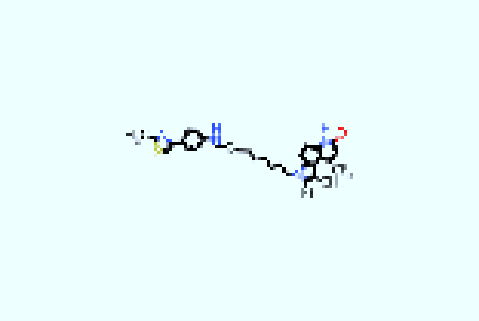 CCc1c(C)c2c3c(C(F)(F)F)cc(=O)[nH]c3ccc2n1CCCCCCCCCNc1ccc(-c2csc(C)n2)cc1